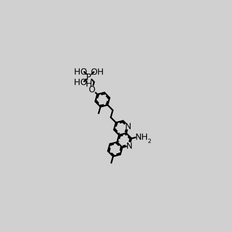 Cc1ccc2c(c1)nc(N)c1ncc(CCc3ccc(OC[PH](O)(O)O)cc3C)cc12